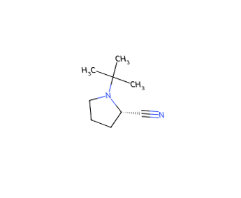 CC(C)(C)N1CCC[C@H]1C#N